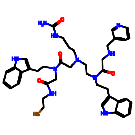 NC(=O)NCCCN(CCN(CCc1c[nH]c2ccccc12)C(=O)CNCc1cccnc1)CC(=O)N(CCc1c[nH]c2ccccc12)CC(=O)NCCS